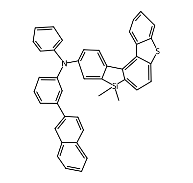 C[Si]1(C)c2cc(N(c3ccccc3)c3cccc(-c4ccc5ccccc5c4)c3)ccc2-c2c1ccc1sc3ccccc3c21